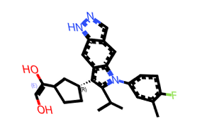 Cc1cc(-n2c(C(C)C)c([C@@H]3CCC(/C(O)=C\O)C3)c3cc4[nH]ncc4cc32)ccc1F